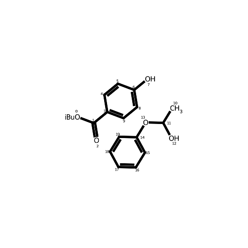 CC(C)COC(=O)c1ccc(O)cc1.CC(O)Oc1ccccc1